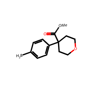 Bc1ccc(C2(C(=O)OC)CCOCC2)cc1